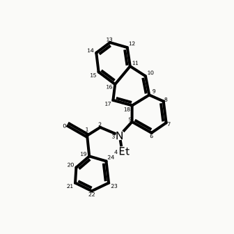 C=C(CN(CC)c1cccc2cc3ccccc3cc12)c1ccccc1